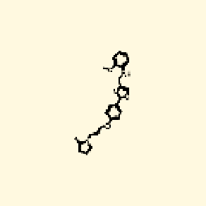 COc1ccccc1NCc1coc(-c2ccc(OCCCN3CCCC3C)cc2)n1